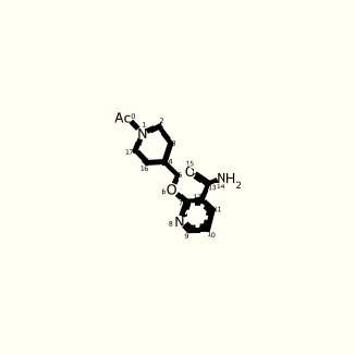 CC(=O)N1CCC(COc2ncccc2C(N)=O)CC1